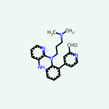 CN(C)CCCN(c1ccccc1-c1ccnc(C=O)c1)c1ncccc1N